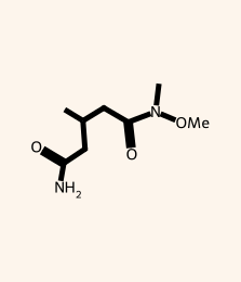 CON(C)C(=O)CC(C)CC(N)=O